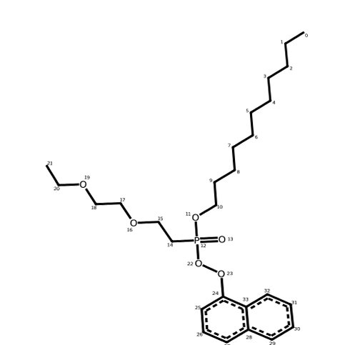 CCCCCCCCCCCOP(=O)(CCOCCOCC)OOc1cccc2ccccc12